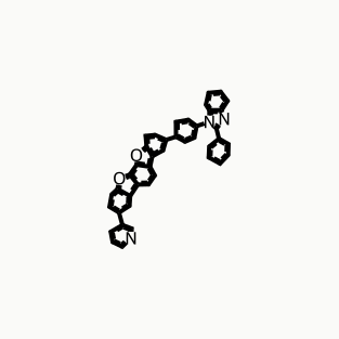 c1ccc(-c2nc3ccccc3n2-c2ccc(-c3ccc4oc5c(ccc6c7cc(-c8cccnc8)ccc7oc65)c4c3)cc2)cc1